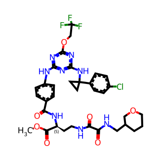 COC(=O)[C@H](CCNC(=O)C(=O)NCC1CCCOC1)NC(=O)c1ccc(Nc2nc(NC3(c4ccc(Cl)cc4)CC3)nc(OCC(F)(F)F)n2)cc1